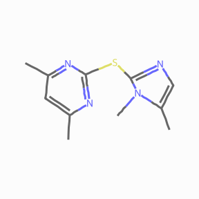 Cc1cc(C)nc(Sc2ncc(C)n2C)n1